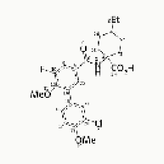 CCC1CCC(NC(=O)c2cc(F)c(OC)c(-c3ccc(OC)c(Cl)c3)c2)(C(=O)O)CC1